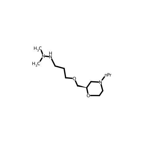 CCCN1CCO[C@@H](COCCCNN(C)C)C1